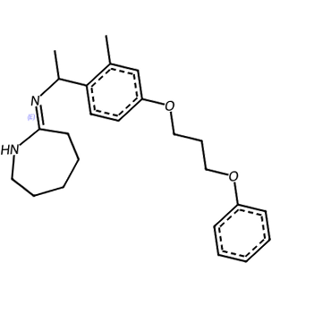 Cc1cc(OCCCOc2ccccc2)ccc1C(C)/N=C1\CCCCCN1